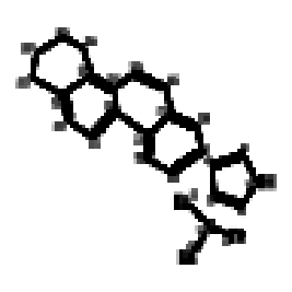 CCN(CC)CC.c1cc[nH]c1.c1ccc2c(c1)ccc1c3c(ccc12)CCCC3